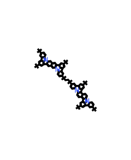 CC(C)(C)c1ccc2c(c1)c1cc(C(C)(C)C)cc3c4cc5cc6c(cc5cc4n2c13)c1cc(C(C)(C)C)cc2c3cc(C(C)(C)CCC(C)(C)c4ccc5c(c4)c4cc(C(C)(C)C)cc7c8c9ccc%10c(c9ccc8n5c47)c4cc(C(C)(C)C)cc5c7cc(C(C)(C)C)ccc7n%10c54)ccc3n6c21